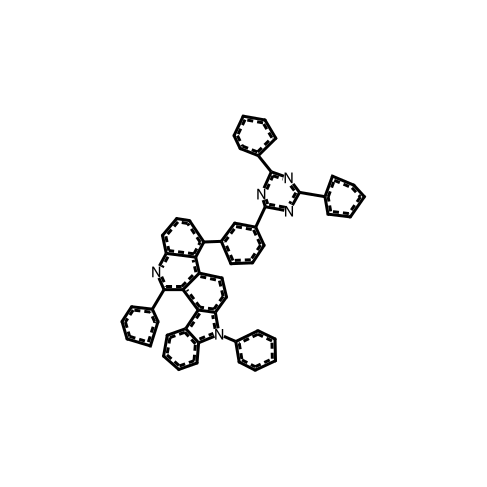 c1ccc(-c2nc(-c3ccccc3)nc(-c3cccc(-c4cccc5nc(-c6ccccc6)c6c(ccc7c6c6ccccc6n7-c6ccccc6)c45)c3)n2)cc1